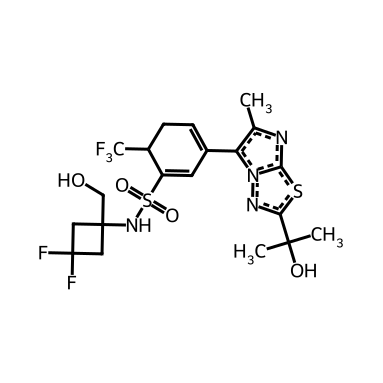 Cc1nc2sc(C(C)(C)O)nn2c1C1=CCC(C(F)(F)F)C(S(=O)(=O)NC2(CO)CC(F)(F)C2)=C1